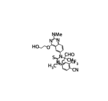 CNc1nc(OCCO)c2cc(N(C(=S)N(C)c3ccc(C#N)c(C(F)(F)F)c3)C(C)(C)C=O)ccc2n1